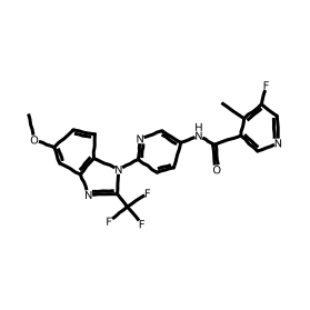 COc1ccc2c(c1)nc(C(F)(F)F)n2-c1ccc(NC(=O)c2cncc(F)c2C)cn1